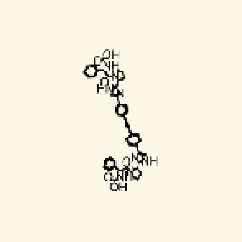 O=C(O)NC(C(=O)N1CCCC1c1nc(-c2ccc(C#Cc3ccc(-c4c[nH]c([C@@H]5CCCN5C(=O)[C@H](NC(=O)O)c5ccccc5)n4)cc3)cc2)c[nH]1)c1ccccc1